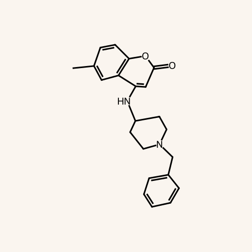 Cc1ccc2oc(=O)cc(NC3CCN(Cc4ccccc4)CC3)c2c1